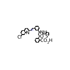 O=C(N[C@@H](CCc1ccccc1C(=O)O)c1cccc(/C=C/c2ccc3ccc(Cl)cc3n2)c1)c1cccs1